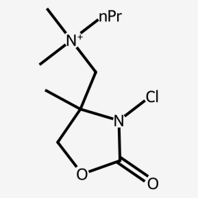 CCC[N+](C)(C)CC1(C)COC(=O)N1Cl